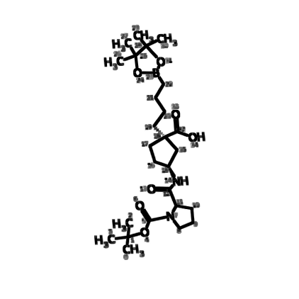 CC(C)(C)OC(=O)N1CCCC1C(=O)N[C@H]1CC[C@@](CCCCB2OC(C)(C)C(C)(C)O2)(C(=O)O)C1